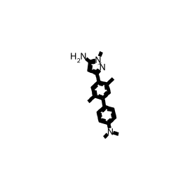 Cc1cc(-c2cc(N)n(C)n2)c(C)cc1-c1ccc(N(C)C)cc1